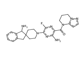 Nc1nc(N2CCC3(CC2)Cc2ccccc2C3N)c(F)nc1C(=O)N1CCCn2nccc21